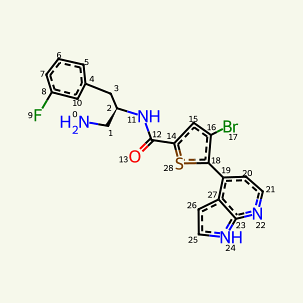 NC[C@@H](Cc1cccc(F)c1)NC(=O)c1cc(Br)c(-c2ccnc3[nH]ccc23)s1